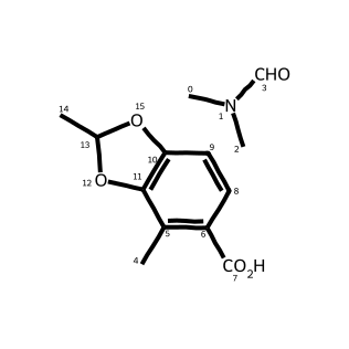 CN(C)C=O.Cc1c(C(=O)O)ccc2c1OC(C)O2